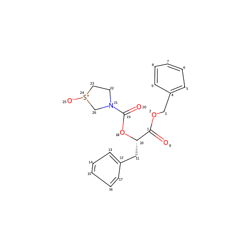 O=C(OCc1ccccc1)[C@H](Cc1ccccc1)OC(=O)N1CC[S+]([O-])C1